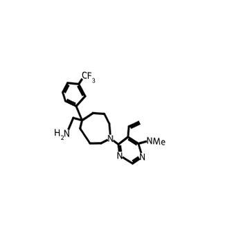 C=Cc1c(NC)ncnc1N1CCCC(CN)(c2cccc(C(F)(F)F)c2)CCC1